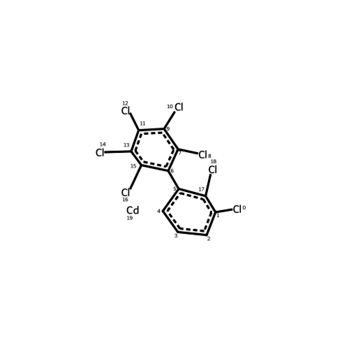 Clc1cccc(-c2c(Cl)c(Cl)c(Cl)c(Cl)c2Cl)c1Cl.[Cd]